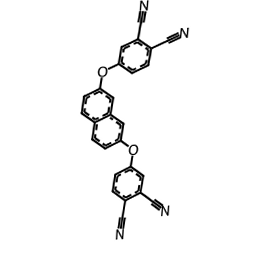 N#Cc1ccc(Oc2ccc3ccc(Oc4ccc(C#N)c(C#N)c4)cc3c2)cc1C#N